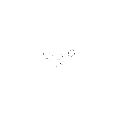 C#C/C(Cl)=N\N(C)C[C@H]1CN(C)C(=O)[C@@H]1C(=O)Nc1cccc(F)c1OC(F)(F)F